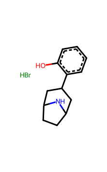 Br.Oc1ccccc1C1CC2CCC(C1)N2